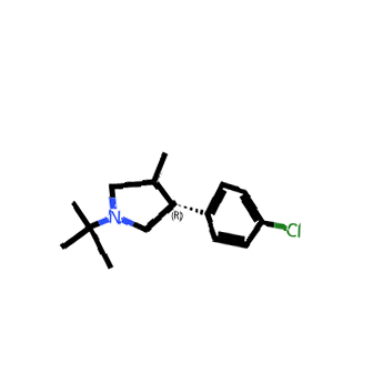 CC1CN(C(C)(C)C)C[C@H]1c1ccc(Cl)cc1